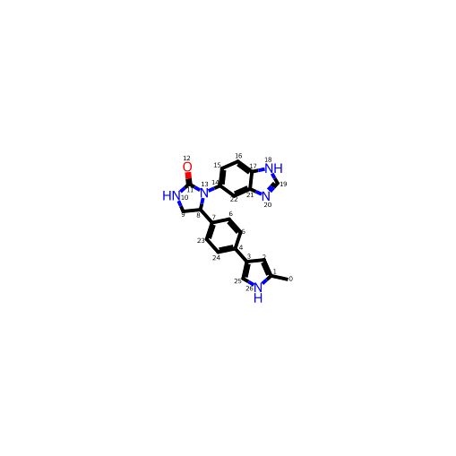 Cc1cc(-c2ccc(C3CNC(=O)N3c3ccc4[nH]cnc4c3)cc2)c[nH]1